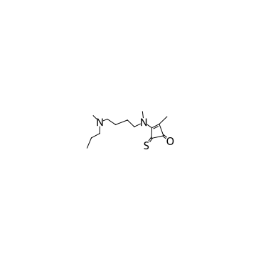 CCCN(C)CCCCN(C)c1c(C)c(=O)c1=S